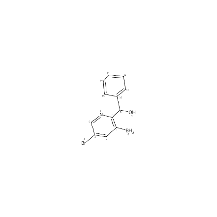 Bc1cc(Br)cnc1C(O)c1ccccc1